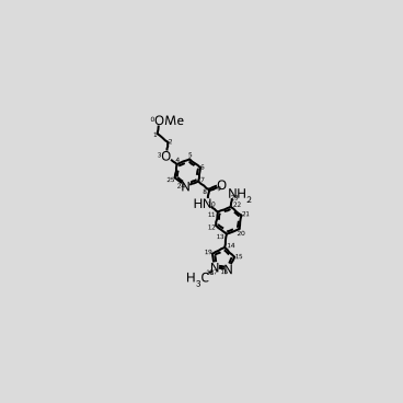 COCCOc1ccc(C(=O)Nc2cc(-c3cnn(C)c3)ccc2N)nc1